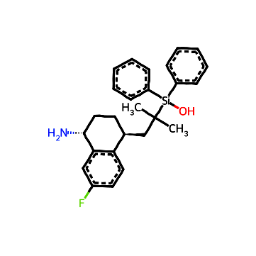 CC(C)(C[C@@H]1CC[C@@H](N)c2cc(F)ccc21)[Si](O)(c1ccccc1)c1ccccc1